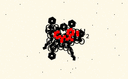 CCCCOCC1OC(OC)C(OC(=O)c2ccccc2)C(OC(=O)c2ccccc2)C1OC1OC2COC(c3ccccc3)OC2C(OC2OC(COCCCC)C(OC3OC4COC(c5ccccc5)OC4C(OP)C3OC(=O)c3ccccc3)C(OC(=O)c3ccccc3)C2OC(=O)c2ccccc2)C1OC(=O)c1ccccc1